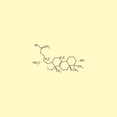 C=C(CC[C@@H](C(=O)O)[C@H]1CC[C@@]2(C)C3=C(CC[C@]12C)[C@@]1(C)CC[C@H](O)C(C)(C)[C@@H]1CC3)C(C)C